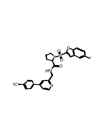 N#Cc1ccc(-c2ccnc(CNC(=O)C3CCCN3S(=O)(=O)c3cc4cc(F)ccc4o3)c2)cc1